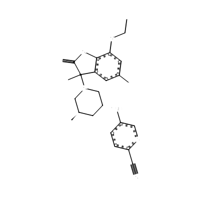 CCNc1cc(F)cc2c1NC(=O)C2(C)N1C[C@H](F)C[C@@H](Nc2ccc(C#N)nc2)C1